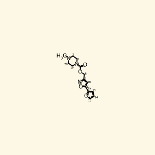 CN1CCN(C(=O)OCc2cc(-c3ccco3)on2)CC1